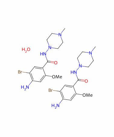 COc1cc(N)c(Br)cc1C(=O)NN1CCN(C)CC1.COc1cc(N)c(Br)cc1C(=O)NN1CCN(C)CC1.O